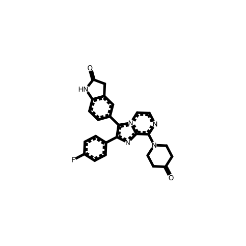 O=C1CCN(c2nccn3c(-c4ccc5c(c4)CC(=O)N5)c(-c4ccc(F)cc4)nc23)CC1